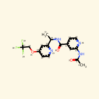 CC(=O)Nc1cc(C(=O)NC(C)c2cc(OCC(F)(F)F)ccn2)ccn1